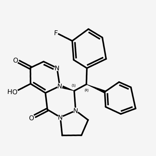 O=C1c2c(O)c(=O)cnn2[C@@H]([C@H](c2ccccc2)c2cccc(F)c2)N2CCCN12